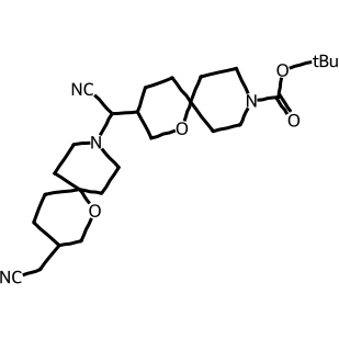 CC(C)(C)OC(=O)N1CCC2(CCC(C(C#N)N3CCC4(CCC(CC#N)CO4)CC3)CO2)CC1